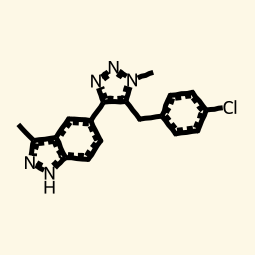 Cc1n[nH]c2ccc(-c3nnn(C)c3Cc3ccc(Cl)cc3)cc12